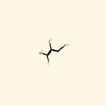 FC/C(F)=C(\F)Br